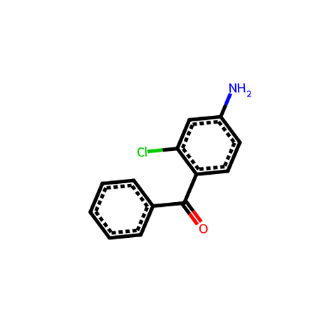 Nc1ccc(C(=O)c2ccccc2)c(Cl)c1